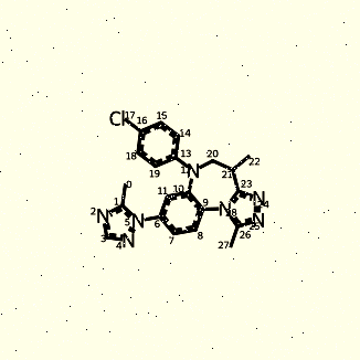 Cc1ncnn1-c1ccc2c(c1)N(c1ccc(Cl)cc1)CC(C)c1nnc(C)n1-2